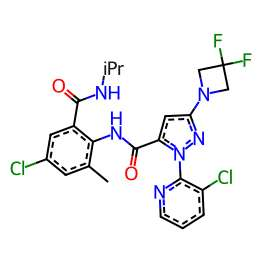 Cc1cc(Cl)cc(C(=O)NC(C)C)c1NC(=O)c1cc(N2CC(F)(F)C2)nn1-c1ncccc1Cl